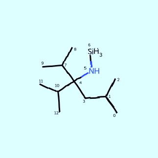 CC(C)CC(N[SiH3])(C(C)C)C(C)C